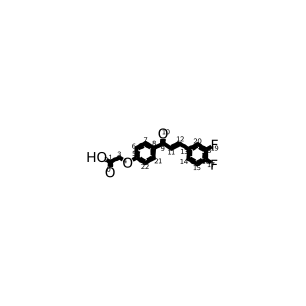 O=C(O)COc1ccc(C(=O)/C=C/c2ccc(F)c(F)c2)cc1